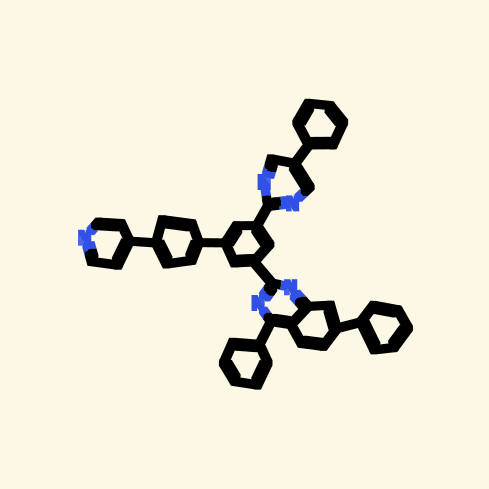 c1ccc(-c2cnc(-c3cc(-c4ccc(-c5ccncc5)cc4)cc(-c4nc(-c5ccccc5)c5ccc(-c6ccccc6)cc5n4)c3)nc2)cc1